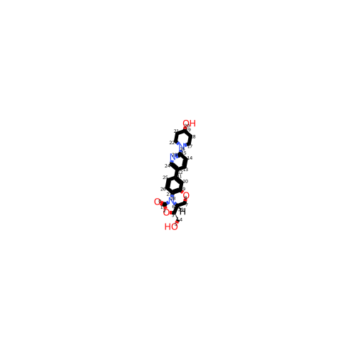 O=C1O[C@@H](CO)[C@@H]2COc3cc(-c4ccc(N5CCC(O)CC5)nc4)ccc3N12